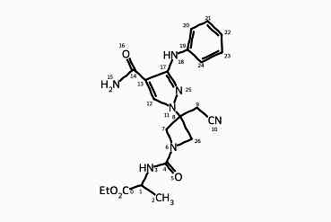 CCOC(=O)C(C)NC(=O)N1CC(CC#N)(n2cc(C(N)=O)c(Nc3ccccc3)n2)C1